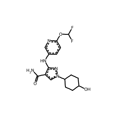 NC(=O)c1cn(C2CCC(O)CC2)nc1Nc1ccc(OC(F)F)nc1